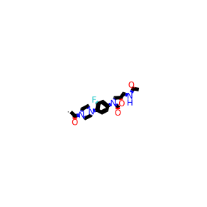 [CH2]C(=O)N1CCN(c2ccc(N3CC(CNC(C)=O)OC3=O)cc2F)CC1